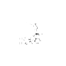 CCOC(=O)CC1CCCCC1(OCC)OCC